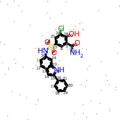 NC(=O)c1cc(S(=O)(=O)Nc2ccc3cc(-c4ccccc4)[nH]c3c2)cc(Cl)c1O